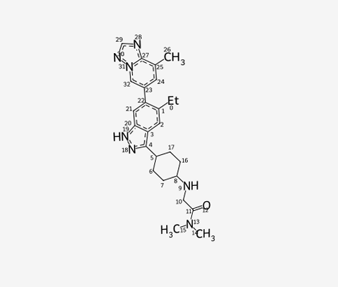 CCc1cc2c(C3CCC(NCC(=O)N(C)C)CC3)n[nH]c2cc1-c1cc(C)c2ncnn2c1